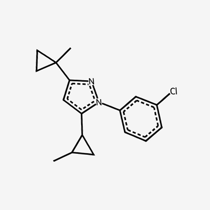 CC1CC1c1cc(C2(C)CC2)nn1-c1cccc(Cl)c1